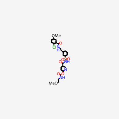 COCCNC(=O)Oc1ccc(C(=O)NS(=O)(=O)c2cccc(CCNC(=O)c3cc(OC)ccc3Cl)c2)cn1